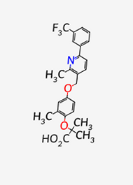 Cc1cc(OCc2ccc(-c3cccc(C(F)(F)F)c3)nc2C)ccc1OC(C)(C)C(=O)O